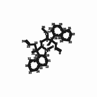 C=CCC1(C)C(CC2N(C)c3ccc4ccccc4c3C2(C)CC=C)=[N+](C)c2ccc3ccccc3c21